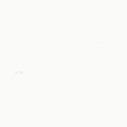 CCOC(=O)COc1ccc(C(=O)CN)c(O)c1